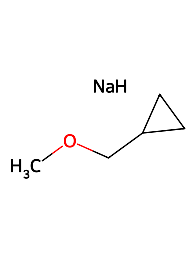 COCC1CC1.[NaH]